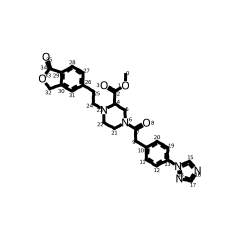 COC(=O)C1CN(C(=O)Cc2ccc(-n3cncn3)cc2)CCN1CCc1ccc2c(c1)COC2=O